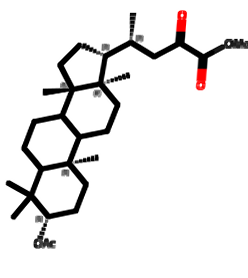 COC(=O)C(=O)C[C@@H](C)[C@H]1CC[C@@]2(C)C3CCC4C(C)(C)[C@@H](OC(C)=O)CC[C@]4(C)C3CC[C@]12C